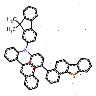 CC1(C)c2ccccc2-c2ccc(N(c3ccc(-c4cccc5c4ccc4c6ccccc6sc54)cc3)c3ccccc3-c3ccc4ccccc4c3)cc21